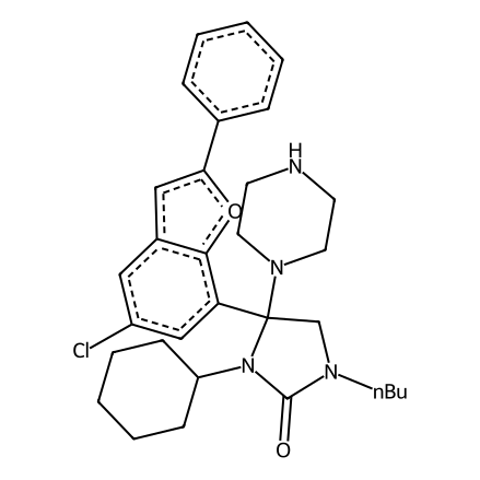 CCCCN1CC(c2cc(Cl)cc3cc(-c4ccccc4)oc23)(N2CCNCC2)N(C2CCCCC2)C1=O